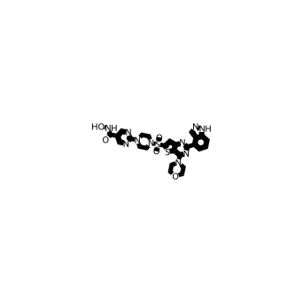 O=C(NO)c1cnc(N2CCN(S(=O)(=O)c3cc4nc(-c5cccc6[nH]ncc56)nc(N5CCOCC5)c4s3)CC2)nc1